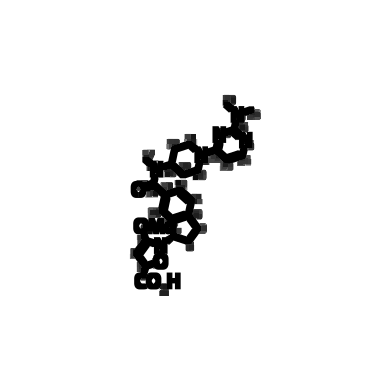 COC1=CC(C(=O)O)ON1[C@@H]1CCc2ccc(C(=O)N(C)C3CCN(c4ccnc(N(C)C)n4)CC3)cc21